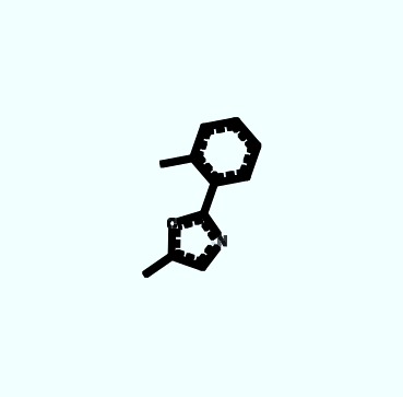 Cc1cnc(-c2ccccc2C)o1